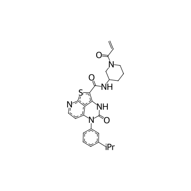 C=CC(=O)N1CCCC(NC(=O)c2sc3nccc4c3c2NC(=O)N4c2cccc(C(C)C)c2)C1